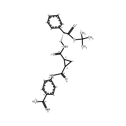 CC(C)(C)OC(=O)[C@H](CNC(=O)C1CC1C(=O)Nc1ccc(C(=N)N)cc1)c1ccccc1